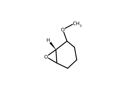 COC1CCCC2O[C@H]12